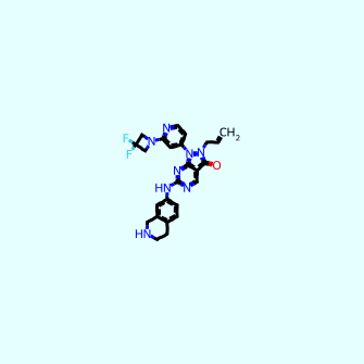 C=CCn1c(=O)c2cnc(Nc3ccc4c(c3)CNCC4)nc2n1-c1ccnc(N2CC(F)(F)C2)c1